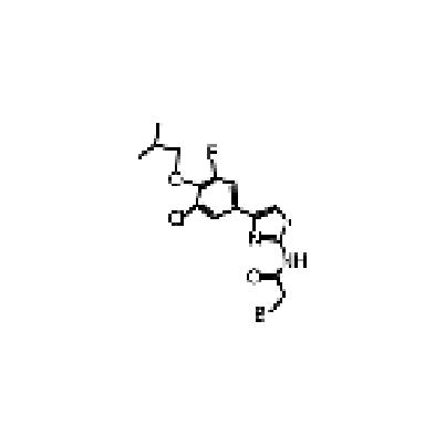 CC(C)COc1c(F)cc(-c2csc(NC(=O)CBr)n2)cc1Cl